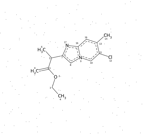 C=C(OCC)C(C)c1cn2cc(Cl)c(C)cc2n1